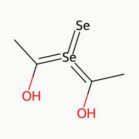 CC(O)=[Se](=[Se])=C(C)O